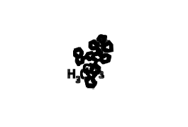 CC1(C)c2ccccc2-c2ccc(-c3c4ccccc4c(N4c5ccccc5[Si]5(CCCC5)c5ccccc54)c4ccc(-c5cccc6ccccc56)cc34)cc21